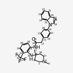 CN1CCC(C)(Nc2c(NC(=O)Cc3ccc(-n4cnc5ccccc54)cc3)cccc2C(F)(F)F)CC1